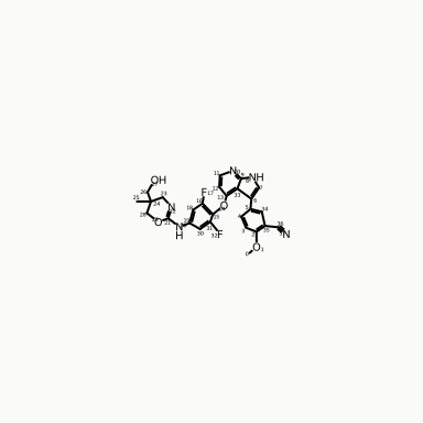 COc1ccc(-c2c[nH]c3nccc(Oc4c(F)cc(NC5=NCC(C)(CO)CO5)cc4F)c23)cc1C#N